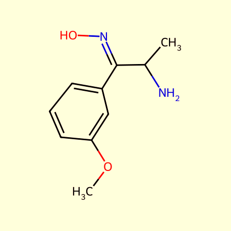 COc1cccc(/C(=N\O)C(C)N)c1